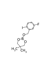 CC1(C)COB(OCc2cc(F)ccc2I)OC1